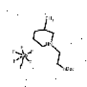 CCCCCCCCCCCC[NH+]1CCCC(C)C1.[F][Sb-]([F])([F])([F])([F])[F]